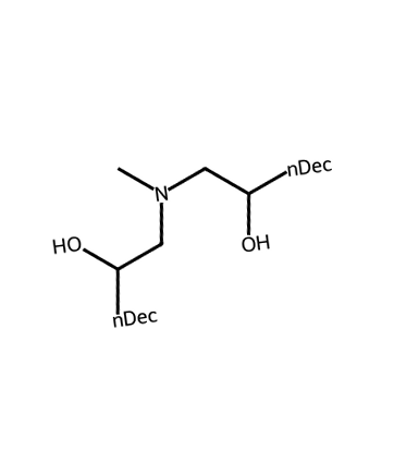 CCCCCCCCCCC(O)CN(C)CC(O)CCCCCCCCCC